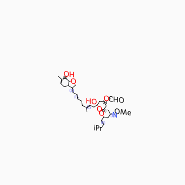 CO/N=C1/CC(/C=C/C(C)C)O[C@]2(C1)C[C@@H](OC=O)CC(O)(C/C=C(\C)CC/C=C/C=C1\COC3C1CC=C(C)[C@H]3O)O2